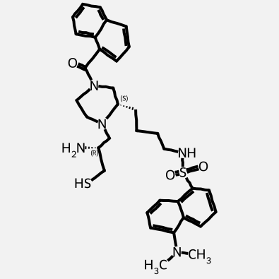 CN(C)c1cccc2c(S(=O)(=O)NCCCC[C@H]3CN(C(=O)c4cccc5ccccc45)CCN3C[C@@H](N)CS)cccc12